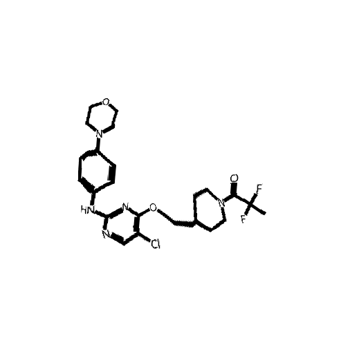 CC(F)(F)C(=O)N1CCC(COc2nc(Nc3ccc(N4CCOCC4)cc3)ncc2Cl)CC1